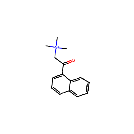 C[N+](C)(C)CC(=O)c1cccc2ccccc12